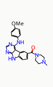 COc1ccc(Nc2ncnc3[nH]c4ccc(C(=O)N5CCN(C)CC5)cc4c23)cc1